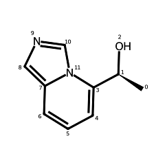 C[C@H](O)c1cccc2cncn12